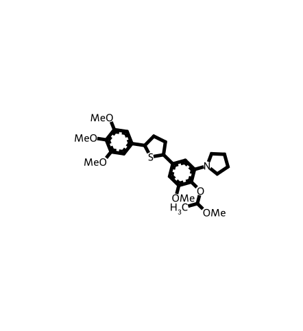 COc1cc(C2CCC(c3cc(OC)c(OC(C)OC)c(N4CCCC4)c3)S2)cc(OC)c1OC